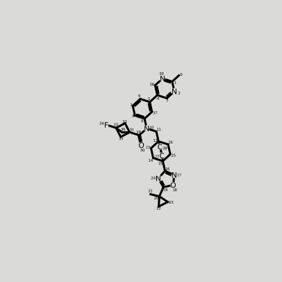 Cc1ncc(-c2cccc(N(CC34CCC(c5noc(C6(C)CC6)n5)(CC3)CC4)C(=O)C34CC(F)(C3)C4)c2)cn1